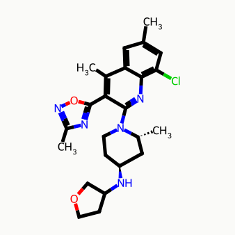 Cc1cc(Cl)c2nc(N3CC[C@H](NC4CCOC4)C[C@H]3C)c(-c3nc(C)no3)c(C)c2c1